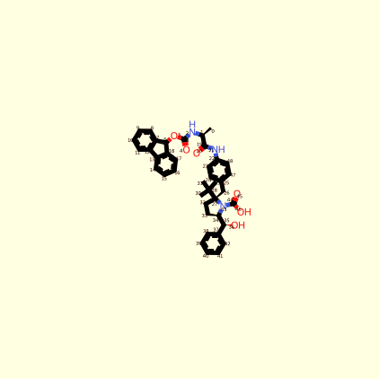 C[C@H](NC(=O)OC1c2ccccc2-c2ccccc21)C(=O)Nc1ccc(C[C@]2(C(C)(C)C)CC[C@H]([C@H](O)c3ccccc3)N2C(=O)O)cc1